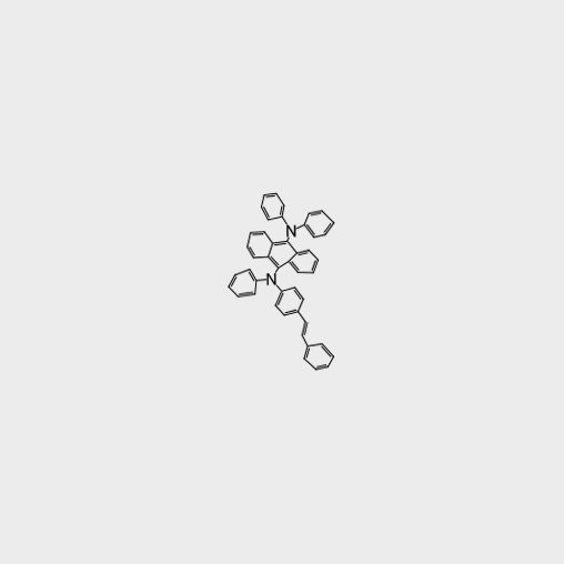 C(=Cc1ccc(N(c2ccccc2)c2c3ccccc3c(N(c3ccccc3)c3ccccc3)c3ccccc23)cc1)c1ccccc1